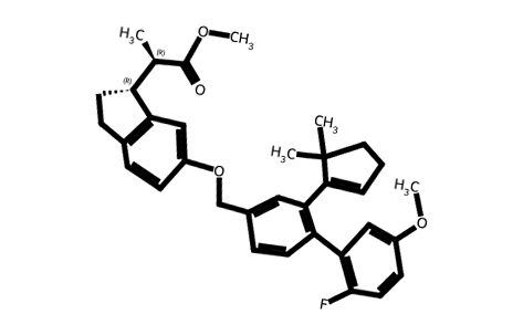 COC(=O)[C@H](C)[C@H]1CCc2ccc(OCc3ccc(-c4cc(OC)ccc4F)c(C4=CCCC4(C)C)c3)cc21